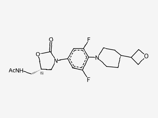 CC(=O)NC[C@H]1CN(c2cc(F)c(N3CCC(C4COC4)CC3)c(F)c2)C(=O)O1